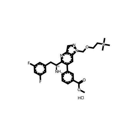 COC(=O)c1cccc(-c2cc3c(cnn3COCC[Si](C)(C)C)nc2[C@@H](N)Cc2cc(F)cc(F)c2)c1.Cl